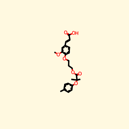 COc1cc(/C=C/C(=O)O)ccc1OCCCOC(=O)C(C)(C)Oc1ccc(C)cc1